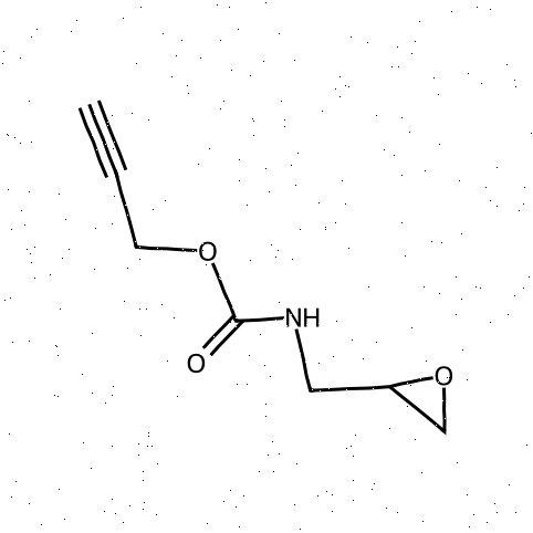 C#CCOC(=O)NCC1CO1